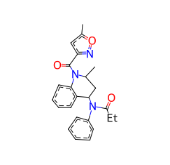 CCC(=O)N(c1ccccc1)C1CC(C)N(C(=O)c2cc(C)on2)c2ccccc21